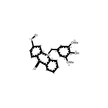 CCSc1ccc2c(=O)c3ccccc3n(Cc3cc(OC)c(O)c(OC)c3)c2c1